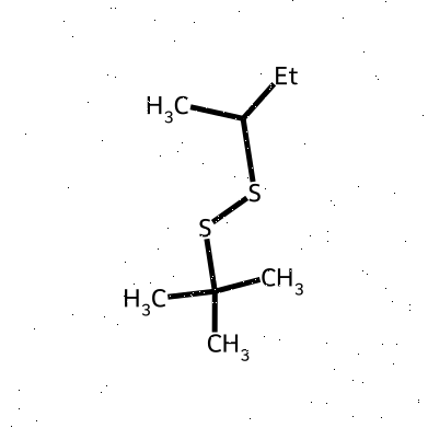 CCC(C)SSC(C)(C)C